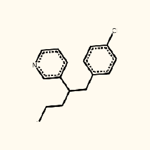 [CH2]CCC(Cc1ccc(Cl)cc1)c1cccnc1